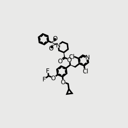 O=C(O[C@@H](Cc1c(Cl)cncc1Cl)c1ccc(OC(F)F)c(OCC2CC2)c1)[C@@H]1CCCN(S(=O)(=O)c2ccccc2)C1